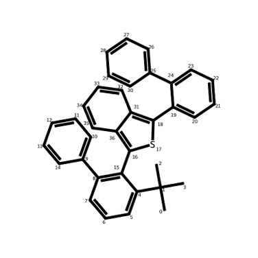 CC(C)(C)c1cccc(-c2ccccc2)c1-c1sc(-c2ccccc2-c2ccccc2)c2ccccc12